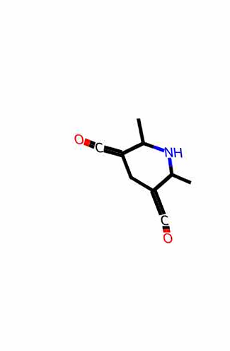 CC1NC(C)C(=C=O)CC1=C=O